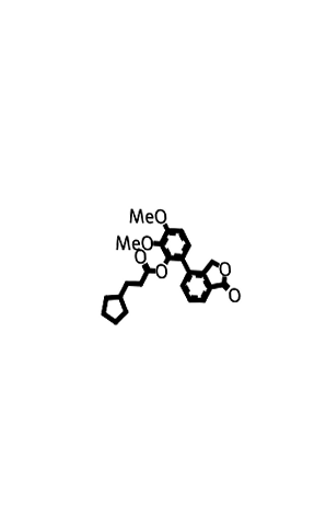 COc1ccc(-c2cccc3c2COC3=O)c(OC(=O)CCC2CCCC2)c1OC